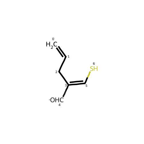 C=CC/C([C]=O)=C\S